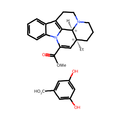 CC[C@@]12C=C(C(=O)OC)n3c4c(c5ccccc53)CCN(CCC1)[C@H]42.O=C(O)c1cc(O)cc(O)c1